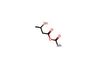 CCCC(=O)OC(=O)CC(C)S